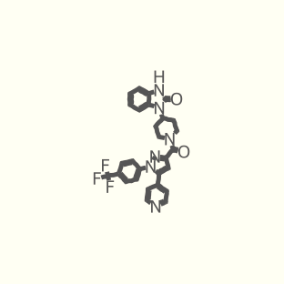 O=C(c1cc(-c2ccncc2)n(-c2ccc(C(F)(F)F)cc2)n1)N1CCC(n2c(=O)[nH]c3ccccc32)CC1